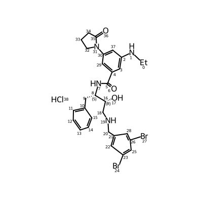 CCNc1cc(C(=O)N[C@@H](Cc2ccccc2)[C@H](O)CNCc2cc(Br)cc(Br)c2)cc(N2CCCC2=O)c1.Cl